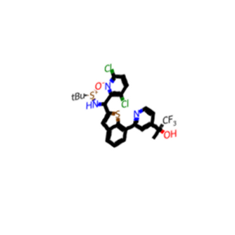 CC(C)(C)[S@+]([O-])NC(c1cc2cccc(-c3cc(C(C)(O)C(F)(F)F)ccn3)c2s1)c1nc(Cl)ccc1Cl